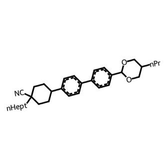 CCCCCCCC1(C#N)CCC(c2ccc(-c3ccc(C4OCC(CCC)CO4)cc3)cc2)CC1